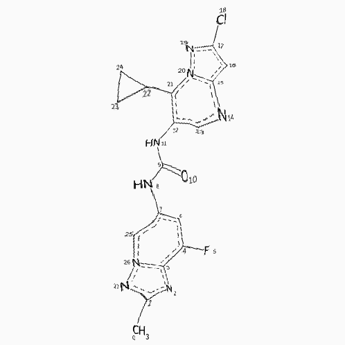 Cc1nc2c(F)cc(NC(=O)Nc3cnc4cc(Cl)nn4c3C3CC3)cn2n1